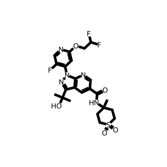 CC1(NC(=O)c2cnc3c(c2)c(C(C)(C)O)nn3-c2cc(OCC(F)F)ncc2F)CCS(=O)(=O)CC1